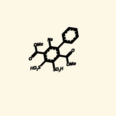 COC(=O)c1[c]([Na])c(-c2ccccc2)c(C(=O)OC)c(S(=O)(=O)O)c1S(=O)(=O)O